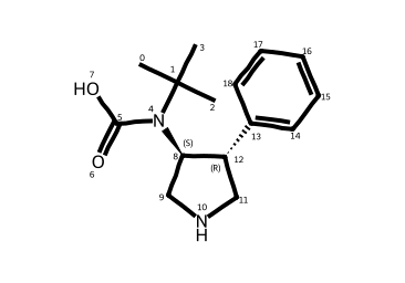 CC(C)(C)N(C(=O)O)[C@@H]1CNC[C@H]1c1ccccc1